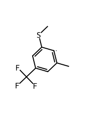 CSc1[c]c(C)cc(C(F)(F)F)c1